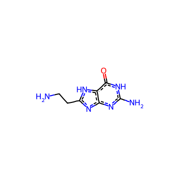 NCCc1nc2nc(N)[nH]c(=O)c2[nH]1